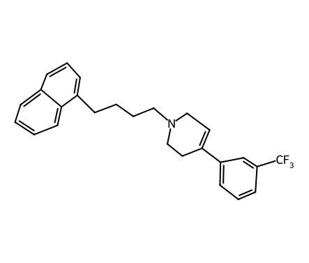 FC(F)(F)c1cccc(C2=CCN(CCCCc3cccc4ccccc34)CC2)c1